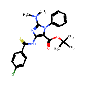 CN(C)c1nc(NC(=S)c2ccc(Cl)cc2)c(C(=O)OC(C)(C)C)n1-c1ccccc1